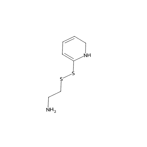 NCCSSC1=CC=CCN1